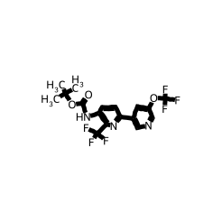 CC(C)(C)OC(=O)Nc1ccc(-c2cncc(OC(F)(F)F)c2)nc1C(F)(F)F